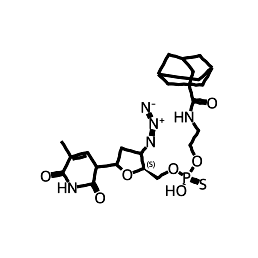 CC1=CC(C2CC(N=[N+]=[N-])[C@@H](COP(O)(=S)OCCNC(=O)C34CC5CC(CC(C5)C3)C4)O2)C(=O)NC1=O